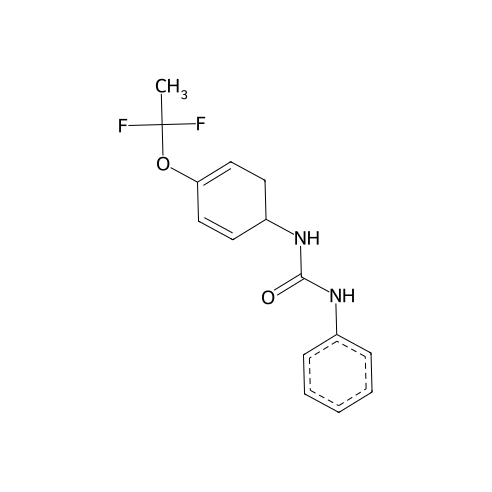 CC(F)(F)OC1=CCC(NC(=O)Nc2ccccc2)C=C1